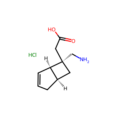 Cl.NC[C@]1(CC(=O)O)C[C@H]2CC=C[C@H]21